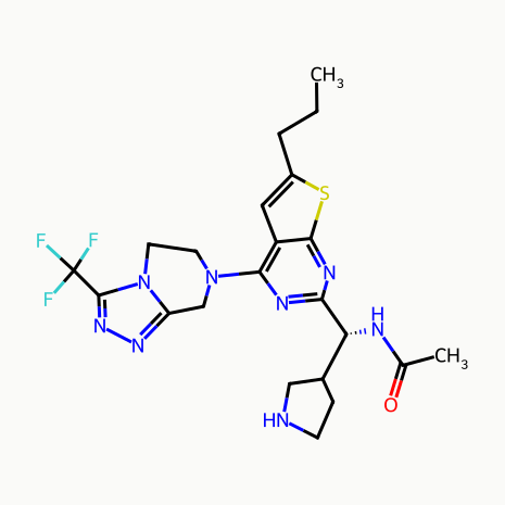 CCCc1cc2c(N3CCn4c(nnc4C(F)(F)F)C3)nc([C@H](NC(C)=O)C3CCNC3)nc2s1